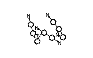 N#Cc1ccc(-c2ccc3c4ccccc4n(-c4cc(-c5ccc(C#N)c(-n6c7ccccc7c7ccc(-c8ccc(C#N)cc8)cc76)c5)ccc4C#N)c3c2)cc1